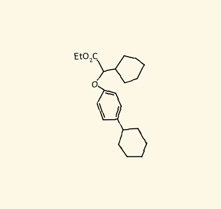 CCOC(=O)C(Oc1ccc(C2CCCCC2)cc1)C1CCCCC1